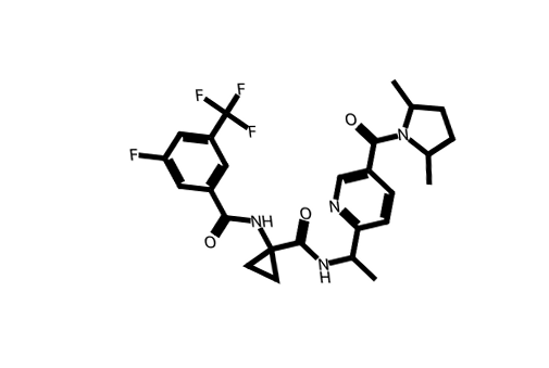 CC(NC(=O)C1(NC(=O)c2cc(F)cc(C(F)(F)F)c2)CC1)c1ccc(C(=O)N2C(C)CCC2C)cn1